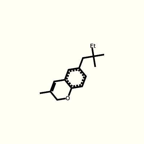 CCC(C)(C)Cc1ccc2c(c1)C=C(C)CO2